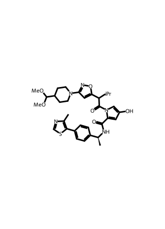 COC(OC)C1CCN(c2cc(C(C(=O)n3cc(O)cc3C(=O)N[C@@H](C)c3ccc(-c4scnc4C)cc3)C(C)C)on2)CC1